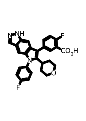 O=C(O)c1cc(-c2c(C3CCOCC3)n(-c3ccc(F)cc3)c3cc4cn[nH]c4cc23)ccc1F